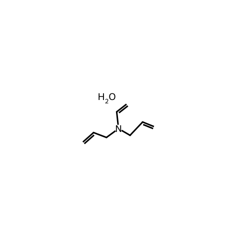 C=CCN(C=C)CC=C.O